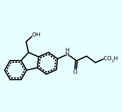 O=C(O)CCC(=O)Nc1ccc2c(c1)C(CO)c1ccccc1-2